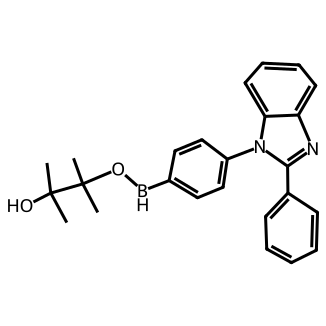 CC(C)(O)C(C)(C)OBc1ccc(-n2c(-c3ccccc3)nc3ccccc32)cc1